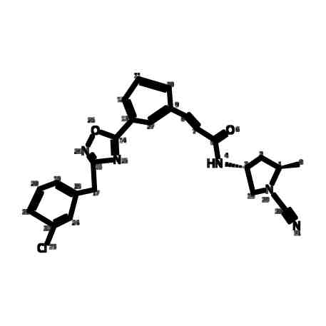 C[C@@H]1C[C@@H](NC(=O)/C=C/c2cccc(-c3nc(Cc4cccc(Cl)c4)no3)c2)CN1C#N